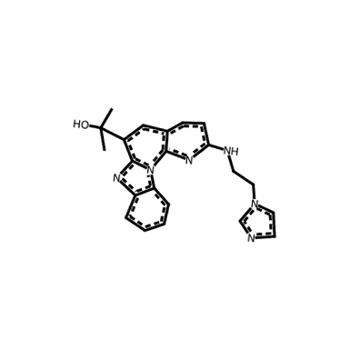 CC(C)(O)c1cc2ccc(NCCn3ccnc3)nc2n2c1nc1ccccc12